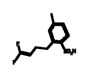 Cc1ccc(S(=O)(=O)O)c(CCC=C(F)F)c1